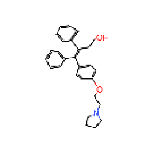 OCCC(=C(c1ccccc1)c1ccc(OCCN2CCCC2)cc1)c1ccccc1